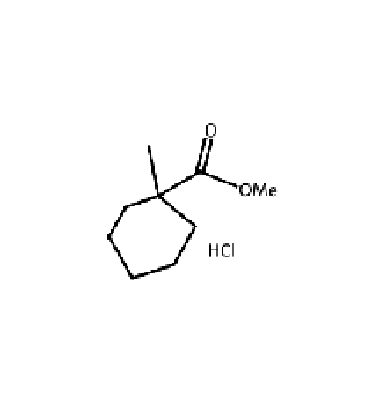 COC(=O)C1(C)CCCCC1.Cl